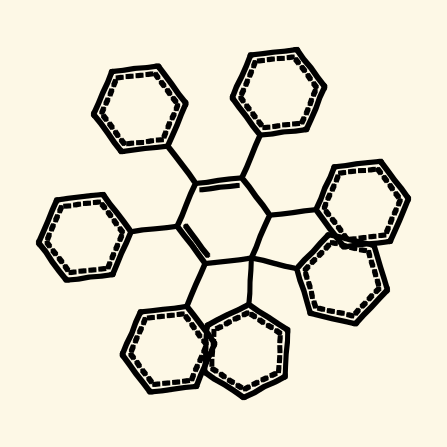 c1ccc(C2=C(c3ccccc3)C(c3ccccc3)C(c3ccccc3)(c3ccccc3)C(c3ccccc3)=C2c2ccccc2)cc1